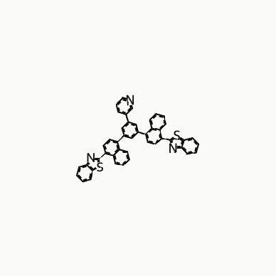 c1cncc(-c2cc(-c3ccc(-c4nc5ccccc5s4)c4ccccc34)cc(-c3ccc(-c4nc5ccccc5s4)c4ccccc34)c2)c1